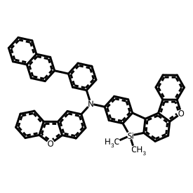 C[Si]1(C)c2cc(N(c3cccc(-c4ccc5ccccc5c4)c3)c3ccc4oc5ccccc5c4c3)ccc2-c2c1ccc1oc3ccccc3c21